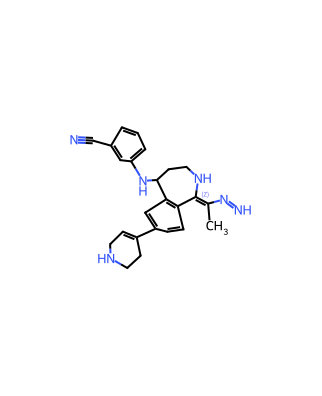 C/C(N=N)=C1/NCCC(Nc2cccc(C#N)c2)c2cc(C3=CCNCC3)ccc21